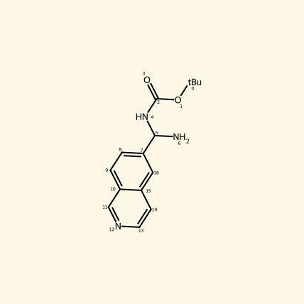 CC(C)(C)OC(=O)NC(N)c1ccc2cnccc2c1